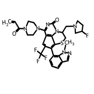 C=CC(=O)N1CCN(c2nc(=O)n3c4c(c(-c5cccc6cnn(C)c56)c(C(F)(F)F)cc24)SCC3CN2CCC(F)C2)CC1